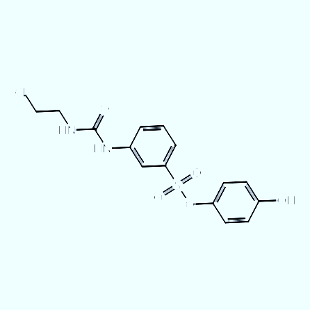 O=C(NCCCl)Nc1cccc(S(=O)(=O)Oc2ccc(O)cc2)c1